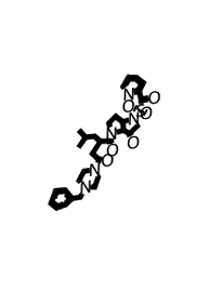 CC(C)CC(CC(=O)N1CCN(Cc2ccccc2)CC1)C(=O)N1CCC2C1C(=O)CN2S(=O)(=O)C(=O)c1ccccn1